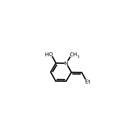 CCC=C1C=CC=C(O)N1C